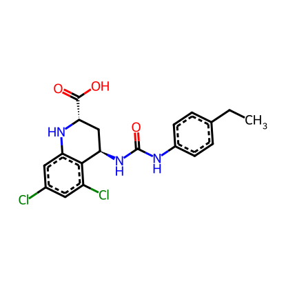 CCc1ccc(NC(=O)N[C@@H]2C[C@@H](C(=O)O)Nc3cc(Cl)cc(Cl)c32)cc1